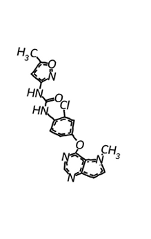 Cc1cc(NC(=O)Nc2ccc(Oc3ncnc4ccn(C)c34)cc2Cl)no1